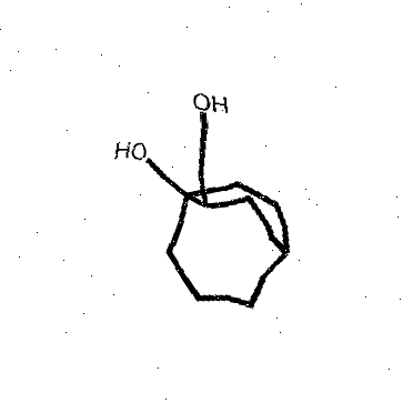 OC1CCC2CCCC1(O)CC2